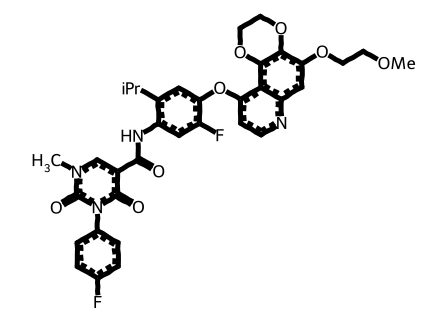 COCCOc1cc2nccc(Oc3cc(C(C)C)c(NC(=O)c4cn(C)c(=O)n(-c5ccc(F)cc5)c4=O)cc3F)c2c2c1OCCO2